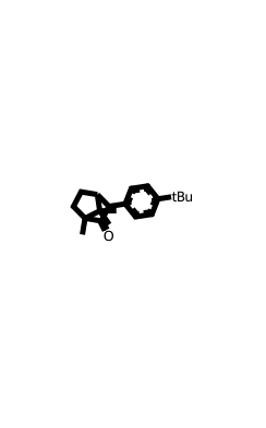 CC(C)(C)c1ccc(C2C(=O)C3(C)CCC2C3(C)C)cc1